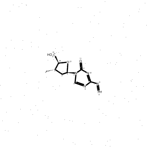 C[C@H]1C[C@H](n2cnc(N=P)nc2=O)O[C@@H]1C(=O)O